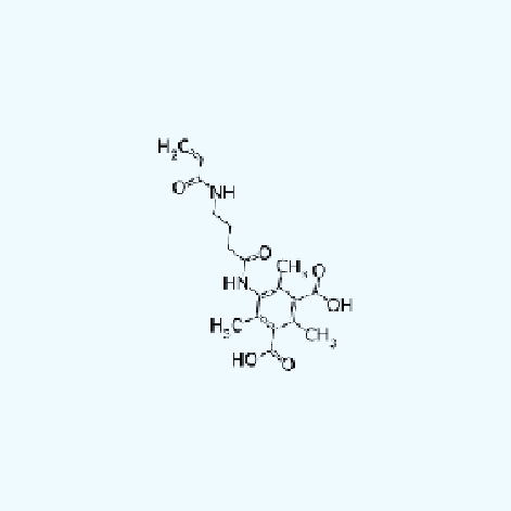 C=CC(=O)NCCCC(=O)Nc1c(C)c(C(=O)O)c(C)c(C(=O)O)c1C